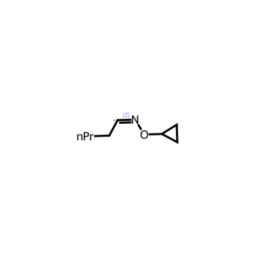 CCCC/[C]=N\OC1CC1